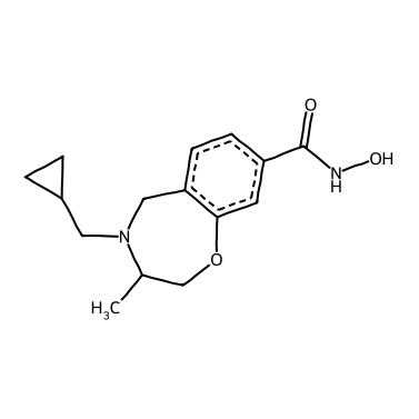 CC1COc2cc(C(=O)NO)ccc2CN1CC1CC1